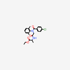 CCOC(=O)C(C)NC(=O)CN(C(=O)c1ccc(Cl)cc1)c1c(C)cccc1C